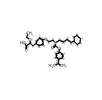 CCOC(Cc1ccc(OCCN(CCCCC2CCCCC2)C(=O)Oc2ccc(C(C)C)cc2)cc1)C(=O)O